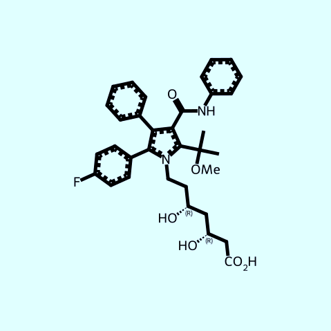 COC(C)(C)c1c(C(=O)Nc2ccccc2)c(-c2ccccc2)c(-c2ccc(F)cc2)n1CC[C@@H](O)C[C@@H](O)CC(=O)O